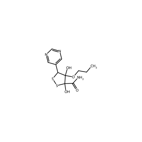 CCCOC1(O)C(c2cncnc2)SSC1(O)C(N)=O